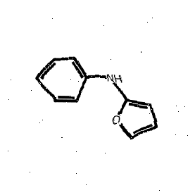 c1ccc(Nc2ccco2)cc1